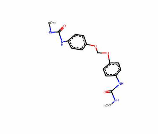 CCCCCCCCNC(=O)Nc1ccc(OCOc2ccc(NC(=O)NCCCCCCCC)cc2)cc1